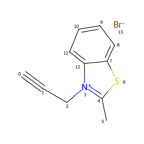 C#CC[n+]1c(C)sc2ccccc21.[Br-]